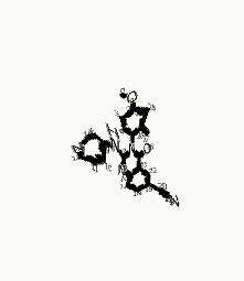 COc1ccc(-n2c(Nc3cccnc3)nc3ccc(C#N)cc3c2=O)c(C)c1